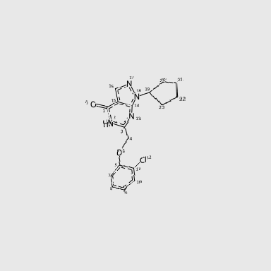 O=c1[nH]c(COc2ccccc2Cl)nc2c1cnn2C1CCCC1